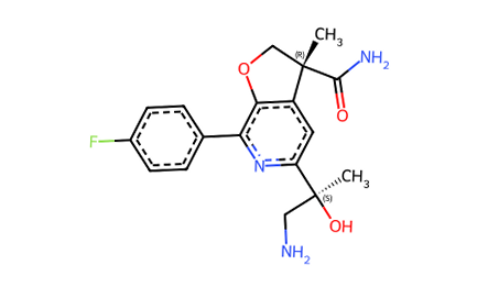 C[C@](O)(CN)c1cc2c(c(-c3ccc(F)cc3)n1)OC[C@]2(C)C(N)=O